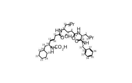 CC(C)C[C@H](NC(=O)C[C@H](O)[C@H](CC(C)C)NC(=O)C/C=C/[C@H](CC1CCCCC1)NC(=O)O)C(=O)NCc1ccccc1